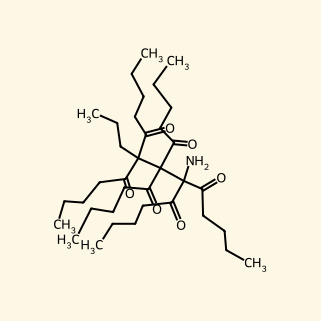 CCCCC(=O)C(N)(C(=O)CCCC)C(C(=O)CCCC)(C(=O)CCCC)C(CCC)(C(=O)CCCC)C(=O)CCCC